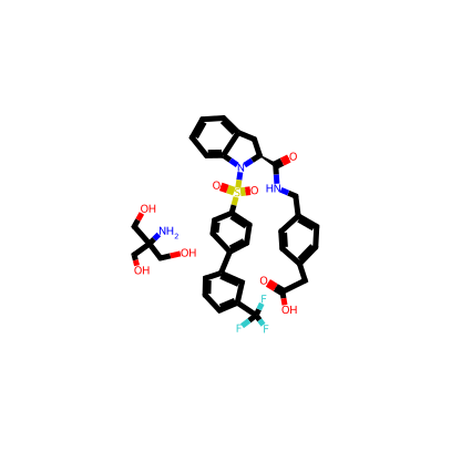 NC(CO)(CO)CO.O=C(O)Cc1ccc(CNC(=O)[C@@H]2Cc3ccccc3N2S(=O)(=O)c2ccc(-c3cccc(C(F)(F)F)c3)cc2)cc1